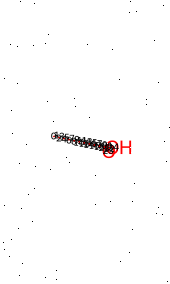 CCCCCCCCCCCCCCC=CC=CC=CC=CC(=O)O